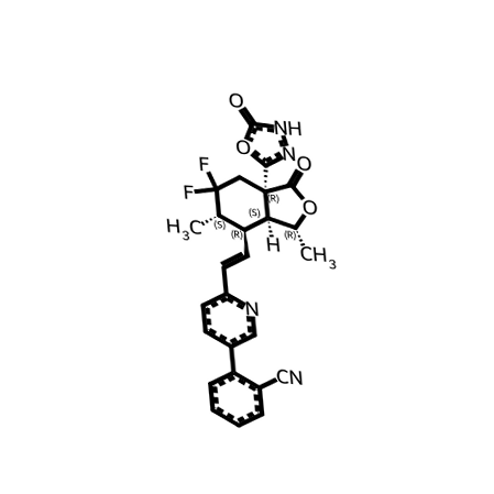 C[C@H]1OC(=O)[C@]2(c3n[nH]c(=O)o3)CC(F)(F)[C@@H](C)[C@H](C=Cc3ccc(-c4ccccc4C#N)cn3)[C@H]12